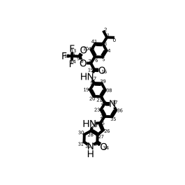 CC(C)c1ccc(C(OC(=O)C(F)(F)F)C(=O)Nc2ccc(-c3cc(-c4cc5c([nH]4)CCNC5=O)ccn3)cc2)cc1